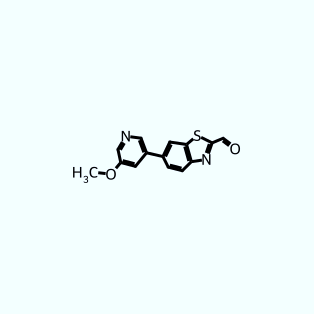 COc1cncc(-c2ccc3nc(C=O)sc3c2)c1